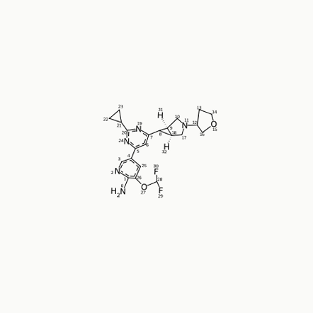 Nc1ncc(-c2cc(C3[C@H]4CN(C5CCOC5)C[C@@H]34)nc(C3CC3)n2)cc1OC(F)F